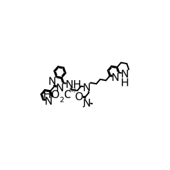 CN(C)C(=O)CN(CCCCc1ccc2c(n1)NCCC2)CC[C@H](Nc1nc(-c2cccnc2)nc2ccccc12)C(=O)O